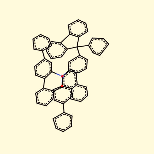 c1ccc(-c2ccc(N(c3cccc(C4(c5ccccc5)c5ccccc5-c5ccccc54)c3)c3cc(-c4ccccc4)ccc3-c3ccccc3-c3cccc4ccccc34)cc2)cc1